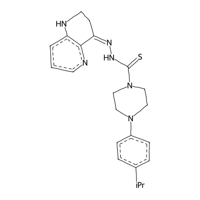 CC(C)c1ccc(N2CCN(C(=S)N/N=C3/CCNc4cccnc43)CC2)cc1